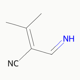 CC(C)=C(C#N)C=N